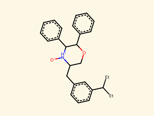 CCC(CC)c1cccc(CC2COC(c3ccccc3)C(c3ccccc3)[NH+]2[O-])c1